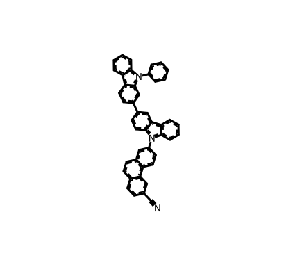 N#Cc1ccc2ccc3cc(-n4c5ccccc5c5cc(-c6ccc7c8ccccc8n(-c8ccccc8)c7c6)ccc54)ccc3c2c1